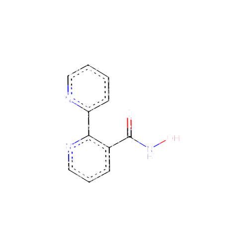 O=C(NO)c1cccnc1-c1ccccn1